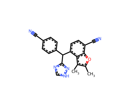 Cc1oc2c(C#N)ccc(C(c3ccc(C#N)cc3)c3nc[nH]n3)c2c1C